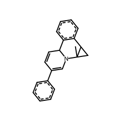 CC12CC1c1ccccc1C1C=CC(c3ccccc3)=CN12